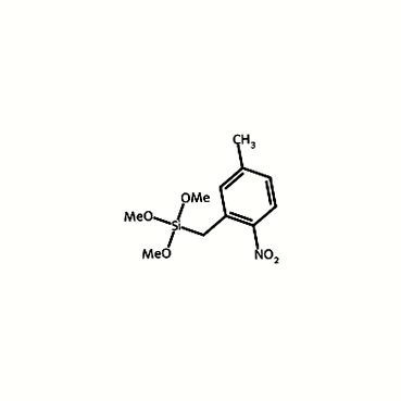 CO[Si](Cc1cc(C)ccc1[N+](=O)[O-])(OC)OC